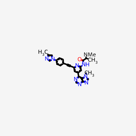 CNC(C)C(=O)Nc1cc(-c2ncnc3ncn(C)c23)cc(C#Cc2ccc(-n3cnc(C)c3)cc2)n1